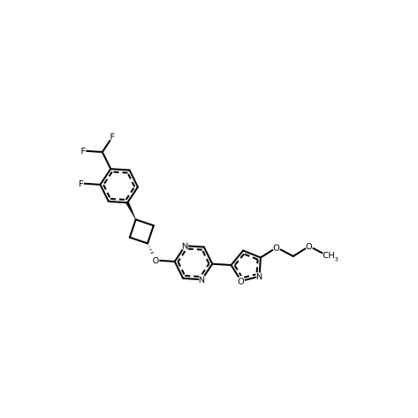 COCOc1cc(-c2cnc(O[C@H]3C[C@H](c4ccc(C(F)F)c(F)c4)C3)cn2)on1